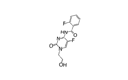 O=C(Nc1nc(=O)n(CCO)cc1F)c1ccccc1F